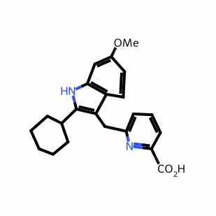 COc1ccc2c(Cc3cccc(C(=O)O)n3)c(C3CCCCC3)[nH]c2c1